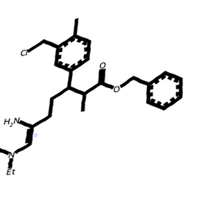 CCN(N)/C=C(\N)CCC(c1ccc(C)c(CCl)c1)C(C)C(=O)OCc1ccccc1